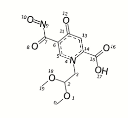 COC(Cn1cc(C(=O)N=O)c(=O)cc1C(=O)O)OC